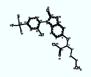 CCCCC(Oc1ccc2c(c1)sc(=O)n2-c1ncc(C(F)(F)F)cc1Cl)C(=O)Cl